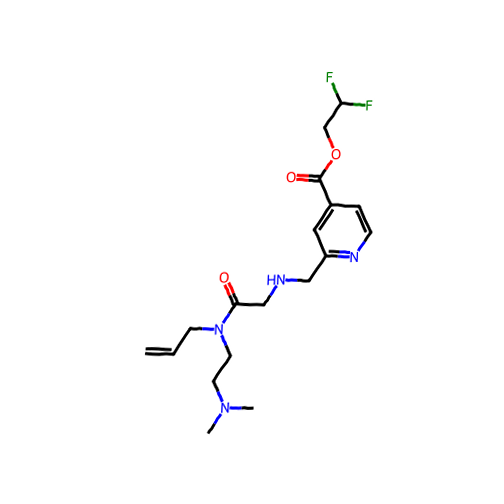 C=CCN(CCN(C)C)C(=O)CNCc1cc(C(=O)OCC(F)F)ccn1